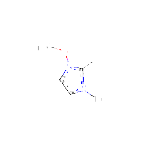 CCO[n+]1ccn(CC)c1CC